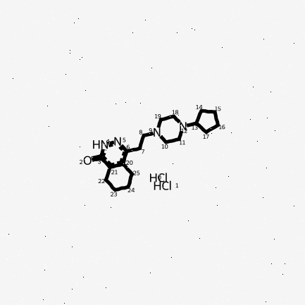 Cl.Cl.O=c1[nH]nc(CCN2CCN(C3CCCC3)CC2)c2c1CCCC2